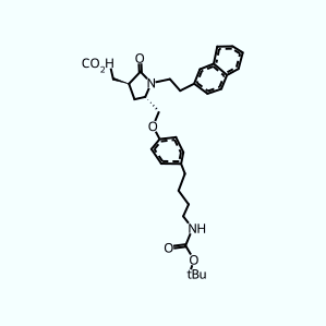 CC(C)(C)OC(=O)NCCCCc1ccc(OC[C@@H]2C[C@@H](CC(=O)O)C(=O)N2CCc2ccc3ccccc3c2)cc1